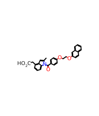 Cc1cc2c(CC(=O)O)cccc2n1C(=O)c1ccc(OCCOc2ccc3ccccc3c2)cc1